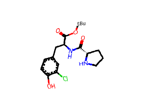 CC(C)(C)OC(=O)C(Cc1ccc(O)c(Cl)c1)NC(=O)[C@@H]1CCCN1